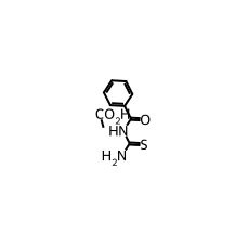 CC(=O)O.NC(=S)NC(=O)c1ccccc1